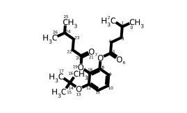 CC(C)CCC(=O)Oc1cccc(OC(C)(C)C)c1OC(=O)CCC(C)C